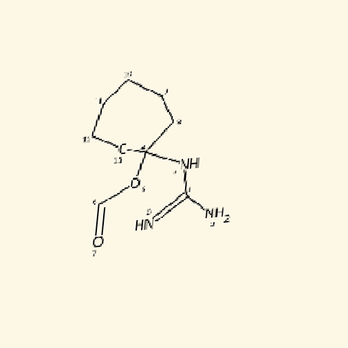 N=C(N)NC1(OC=O)CCCCCC1